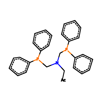 CC(=O)CN(CP(c1ccccc1)c1ccccc1)CP(c1ccccc1)c1ccccc1